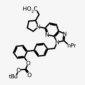 CCCc1nc2ccc(N3CCCC3CC(=O)O)nc2n1Cc1ccc(-c2ccccc2OC(=O)OC(C)(C)C)cc1